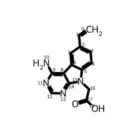 C=Cc1ccc2c(c1)c1c(N)ncnc1n2CC(=O)O